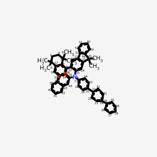 CC1(C)CCC(C)(C)c2c(-c3cc4c(cc3N(c3ccc(-c5ccc(-c6ccccc6)cc5)cc3)c3ccc5ccccc5c3)C(C)(C)c3ccccc3-4)cccc21